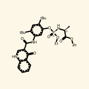 CCO[P@@](=O)(N[C@@H](C)C(=O)OC(C)C)Oc1cc(NC(=O)c2c[nH]c3ccccc3c2=O)c(C(C)(C)C)cc1C(C)(C)C